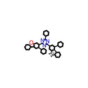 C[Si]1(C)c2ccccc2-c2c(-c3ccccc3)cc(-c3nc(-c4ccccc4)nc(-c4cc5oc6ccccc6c5cc4-c4ccccc4)n3)cc21